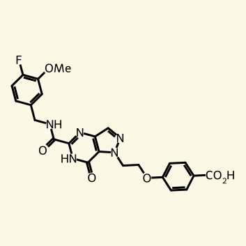 COc1cc(CNC(=O)c2nc3cnn(CCOc4ccc(C(=O)O)cc4)c3c(=O)[nH]2)ccc1F